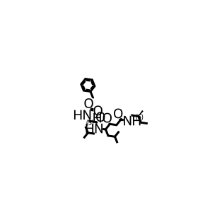 CC[C@H](C)CNC(=O)CC(O)C(CC(C)C)NC(=O)[C@H](CC(C)C)NC(=O)OCc1ccccc1